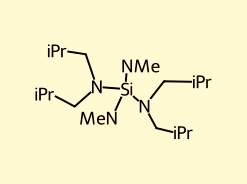 CN[Si](NC)(N(CC(C)C)CC(C)C)N(CC(C)C)CC(C)C